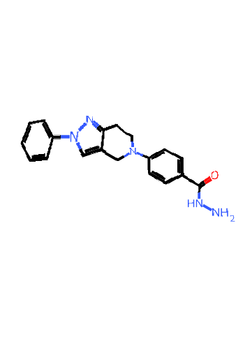 NNC(=O)c1ccc(N2CCc3nn(-c4ccccc4)cc3C2)cc1